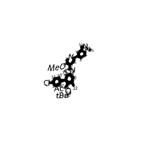 COc1cnc(-c2ccc3c(cnn3C)c2)cc1-c1nc2cc(C)c([C@H](OC(C)(C)C)C(C)=O)c(-c3ccc(Cl)cc3)c2s1